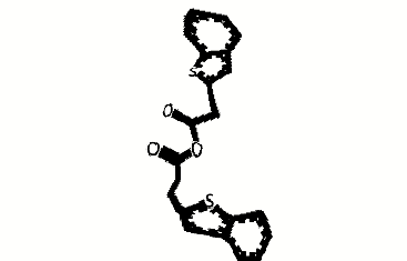 O=C(Cc1cc2ccccc2s1)OC(=O)Cc1cc2ccccc2s1